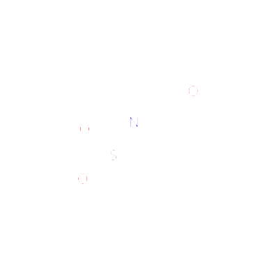 O=C1CCCS(=O)(=O)[N]1